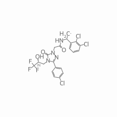 [CH2]C(NC(=O)Cn1nc(-c2ccc(Cl)cc2)n(C[C@H](O)C(F)(F)F)c1=O)c1cccc(Cl)c1Cl